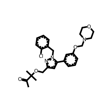 CC(=O)C(C)(C)OCc1cc(-c2cccc(OCN3CCOCC3)c2)n(Cc2ccccc2Cl)n1